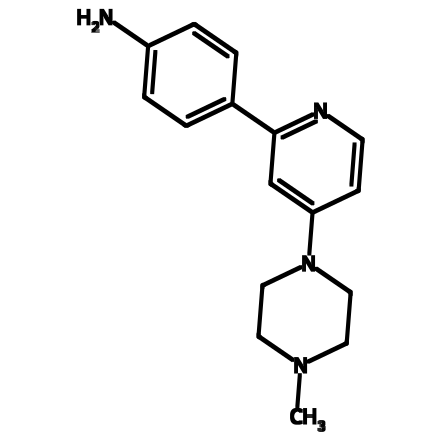 CN1CCN(c2ccnc(-c3ccc(N)cc3)c2)CC1